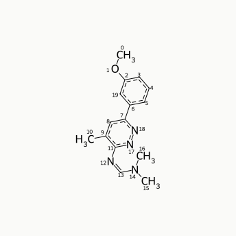 COc1cccc(-c2cc(C)c(/N=C\N(C)C)nn2)c1